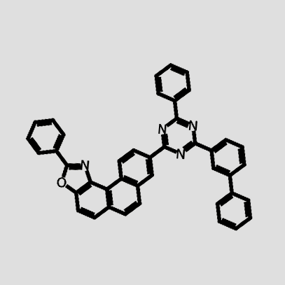 c1ccc(-c2cccc(-c3nc(-c4ccccc4)nc(-c4ccc5c(ccc6ccc7oc(-c8ccccc8)nc7c65)c4)n3)c2)cc1